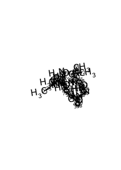 CCCCCCC(=O)N[C@H](C(=O)N[C@@H](CCCNC(N)=O)C(=O)Nc1ccc(COC(=O)NC(Cc2ccccc2)C(=O)NCc2cncc(NC(=O)c3ccc4c(c3)N=C(N)CC(C(=O)N(CCC)CCC)=C4)c2)cc1)C(C)C